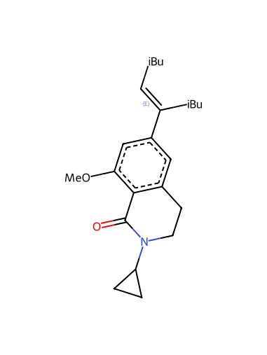 CCC(C)/C=C(/c1cc2c(c(OC)c1)C(=O)N(C1CC1)CC2)C(C)CC